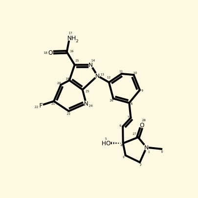 CN1CC[C@@](O)(C=Cc2cccc(-n3nc(C(N)=O)c4cc(F)cnc43)c2)C1=O